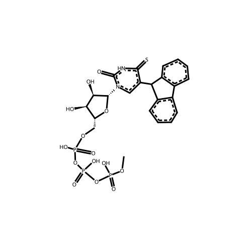 COP(=O)(O)OP(=O)(O)OP(=O)(O)OC[C@H]1O[C@@H](n2cc(C3c4ccccc4-c4ccccc43)c(=S)[nH]c2=O)[C@H](O)[C@@H]1O